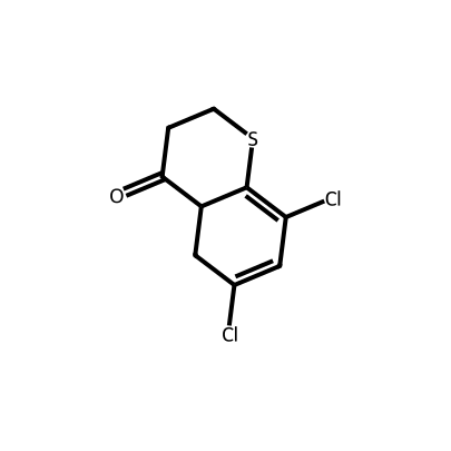 O=C1CCSC2=C(Cl)C=C(Cl)CC12